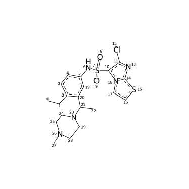 CCc1ccc(NS(=O)(=O)c2c(Cl)nc3sccn23)cc1C(C)N1CCN(C)CC1